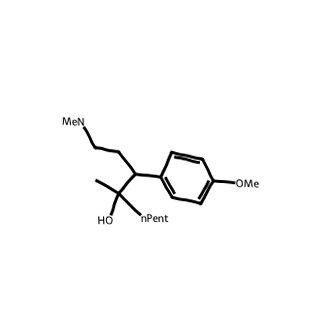 CCCCCC(C)(O)C(CCNC)c1ccc(OC)cc1